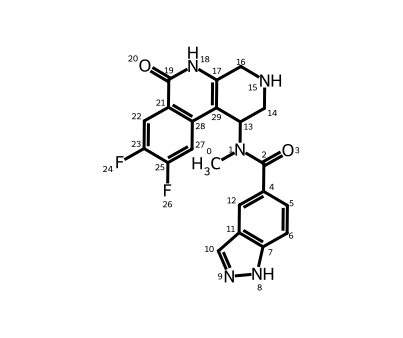 CN(C(=O)c1ccc2[nH]ncc2c1)C1CNCc2[nH]c(=O)c3cc(F)c(F)cc3c21